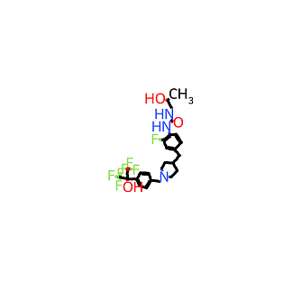 CC(O)CNC(=O)Nc1ccc(CC2CCN(Cc3ccc(C(O)(C(F)(F)F)C(F)(F)F)cc3)CC2)cc1F